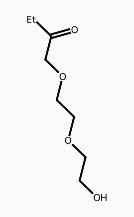 CCC(=O)COCCOCCO